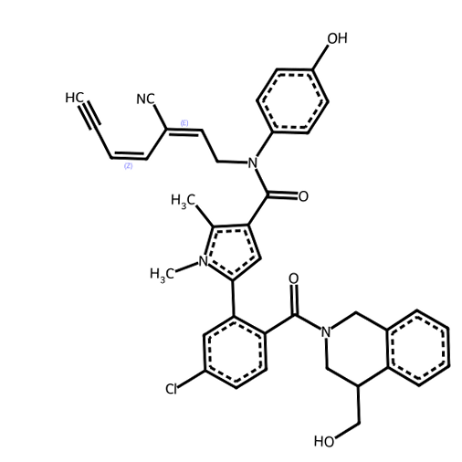 C#C/C=C\C(C#N)=C/CN(C(=O)c1cc(-c2cc(Cl)ccc2C(=O)N2Cc3ccccc3C(CO)C2)n(C)c1C)c1ccc(O)cc1